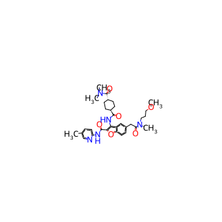 COCCCN(C)C(=O)Cc1ccc2oc(C(=O)Nc3ccc(C)cn3)c(NC(=O)[C@H]3CC[C@H](C(=O)N(C)C)CC3)c2c1